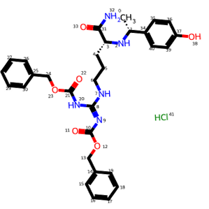 C[C@@H](N[C@H](CCCNC(=NC(=O)OCc1ccccc1)NC(=O)OCc1ccccc1)C(N)=O)c1ccc(O)cc1.Cl